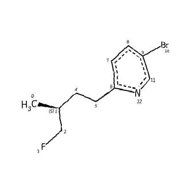 C[C@H](CF)CCc1ccc(Br)cn1